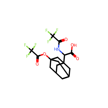 O=C(O)C(NC(=O)C(F)(F)F)C12CC3CC(CC(OC(=O)C(F)(F)F)(C3)C1)C2